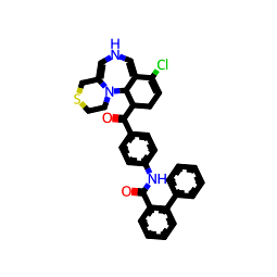 O=C(Nc1ccc(C(=O)C2CC=C(Cl)C3=CNC=C4CSCCN4C32)cc1)c1ccccc1-c1ccccc1